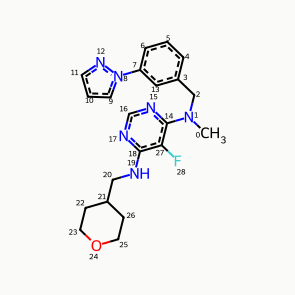 CN(Cc1cccc(-n2cccn2)c1)c1ncnc(NCC2CCOCC2)c1F